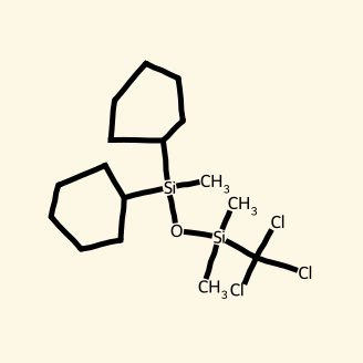 C[Si](O[Si](C)(C)C(Cl)(Cl)Cl)(C1CCCCC1)C1CCCCC1